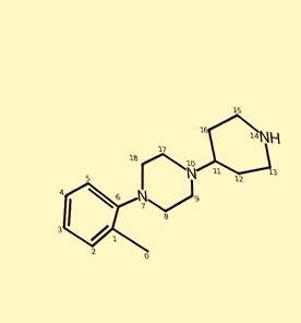 Cc1ccccc1N1CCN(C2CCNCC2)CC1